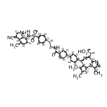 Cc1sc2c(c1C)C(c1ccc(-c3ccc(C(=O)NCCc4ccc(S(=O)(=O)Nc5ccc(C)c6c(C#N)c[nH]c56)cc4)nc3)cc1)=N[C@@H](CC(=O)O)c1nnc(C)n1-2